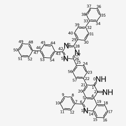 N=C1C(=N)c2c(c(-c3ccccc3)nc3ccccc23)C=C1c1ccc(-c2nc(-c3ccc(-c4ccccc4)cc3)nc(-c3ccc(-c4ccccc4)cc3)n2)cc1